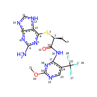 CC[C@H](Sc1nc(N)nc2nc[nH]c12)C(=O)Nc1nc(OC)ncc1C(F)(F)F